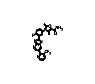 CC1=C(C(N)=O)OC(C)N1c1ccc(F)c(-c2nc3ncc(-c4ncccc4C(F)(F)F)cn3n2)c1